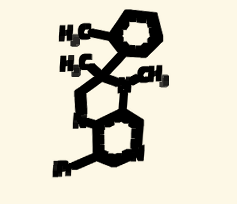 Cc1ccccc1C1(C)C=Nc2c(C(C)C)cncc2N1C